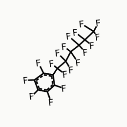 Fc1c(F)c(F)c(C(F)(F)C(F)(F)C(F)(F)C(F)(F)C(F)(F)C(F)(F)F)c(F)c1F